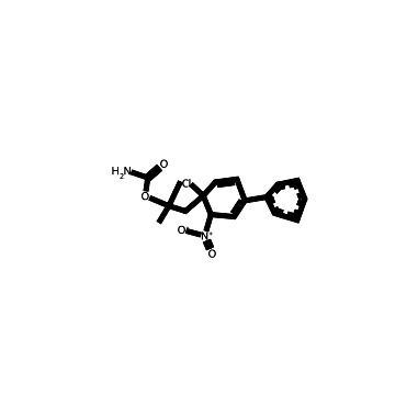 CC(C)(CC1(Cl)C=CC(c2ccccc2)=CC1[N+](=O)[O-])OC(N)=O